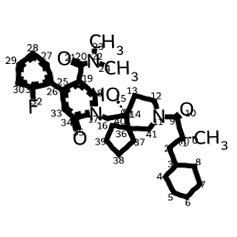 C[C@H](CC1CCCCC1)C(=O)N1CC[C@](O)(Cn2cc(C(=O)N(C)C)c(-c3ccccc3F)cc2=O)C2(CCCC2)C1